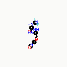 O=C1Nc2cc(CCOc3ccc(N4CCOCC4)cc3)ccc2Nc2cc(Nc3cc(F)nc(F)c3)ccc21